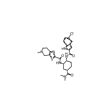 CN1CCc2nc(C(=O)N[C@@H]3C[C@H](C(=O)N(C)C)CC[C@@H]3NC(=O)c3cc4cc(Cl)ccc4[nH]3)sc2C1